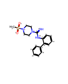 CS(=O)(=O)N1CCN(C(=N)Nc2ccccc2-c2ccccc2)CC1